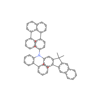 CC1(C)c2cc(N(c3ccc(-c4cccc5cccc(-c6ccccc6)c45)cc3)c3ccccc3-c3ccccc3)ccc2-c2cc3ccccc3cc21